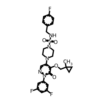 CC1(COc2c(N3CCN(S(=O)(=O)NCc4ccc(F)cc4)CC3)cnn(-c3cc(F)cc(F)c3)c2=O)CC1